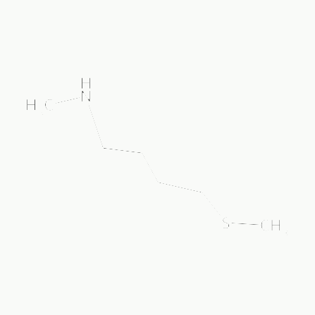 CNCCCCSC